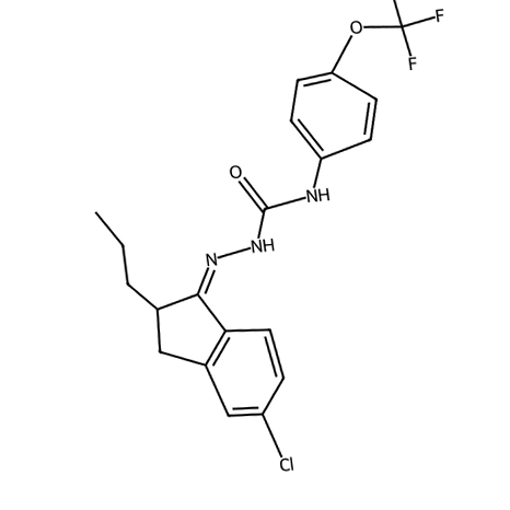 CCCC1Cc2cc(Cl)ccc2C1=NNC(=O)Nc1ccc(OC(F)(F)F)cc1